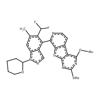 CSc1nc(OC(C)(C)C)c2c(n1)sc1c(-c3c(C(F)F)c(C)cc4c3cnn4C3CCCCO3)nccc12